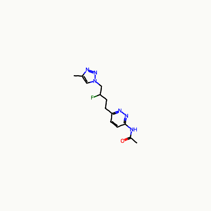 CC(=O)Nc1ccc(CCC(F)Cn2cc(C)nn2)nn1